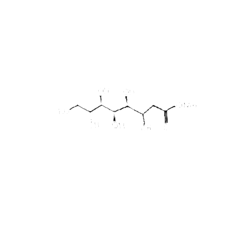 COC(=O)CC(O)[C@H](O)[C@@H](O)[C@H](O)[C@H](O)CO